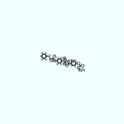 CCCOC(=O)Oc1ccc(C(=O)NS(=O)(=O)c2ccc(NC(=O)CCc3ccccc3)cc2)cn1